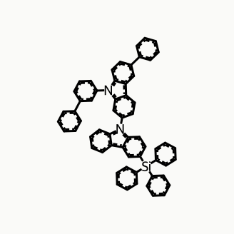 c1ccc(-c2cccc(-n3c4ccc(-c5ccccc5)cc4c4ccc(-n5c6ccccc6c6cc([Si](c7ccccc7)(c7ccccc7)c7ccccc7)ccc65)cc43)c2)cc1